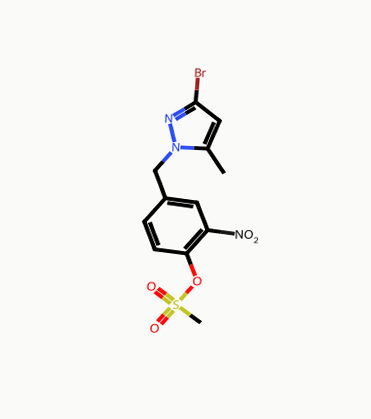 Cc1cc(Br)nn1Cc1ccc(OS(C)(=O)=O)c([N+](=O)[O-])c1